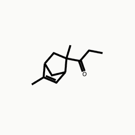 CCC(=O)C1(C)CC2CC1C=C2C